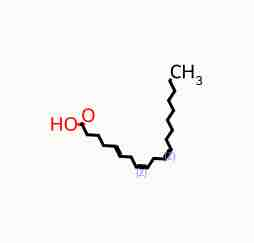 CCCCCCCC/C=C\C/C=C\CC=CCCCC(=O)O